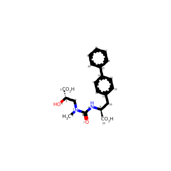 CN(C[C@H](O)C(=O)O)C(=O)N[C@@H](Cc1ccc(-c2ccccc2)cc1)C(=O)O